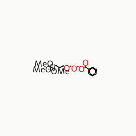 CO[Si](CCCOCOCOC(=O)c1ccccc1)(OC)OC